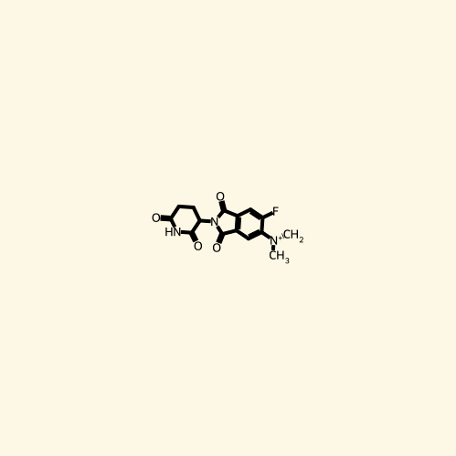 C=[N+](C)c1cc2c(cc1F)C(=O)N(C1CCC(=O)NC1=O)C2=O